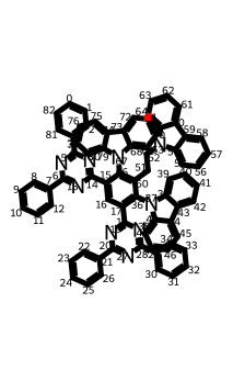 c1ccc(-c2nc(-c3ccccc3)nc(-c3cc(-c4nc(-c5ccccc5)nc(-c5ccccc5)n4)c(-n4c5ccccc5c5ccccc54)c(CCn4c5ccccc5c5ccccc54)c3-n3c4ccccc4c4ccccc43)n2)cc1